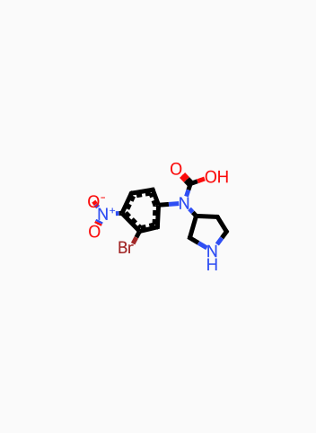 O=C(O)N(c1ccc([N+](=O)[O-])c(Br)c1)C1CCNC1